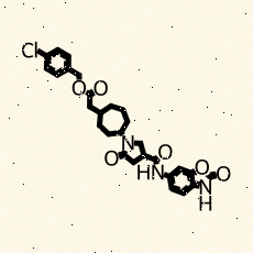 O=C(CC1CCCC(N2CC(C(=O)Nc3ccc4[nH]c(=O)oc4c3)CC2=O)CC1)OCc1ccc(Cl)cc1